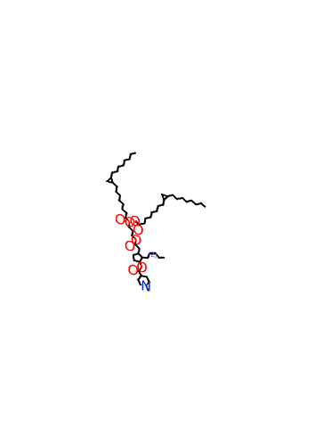 CC/C=C\CC1C(CC(=O)OCC(COC(=O)CCCCCCCC2CC2CCCCCCCC)OC(=O)CCCCCCCC2CC2CCCCCCCC)CCC1OC(=O)C1CCN(C)CC1